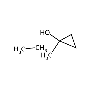 CC.CC1(O)CC1